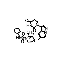 C[C@H]1C[C@H](Cc2ccn3ncc(N4CCC(=O)NC4=O)c3c2)CCN1S(=O)(=O)NC1CCCC1